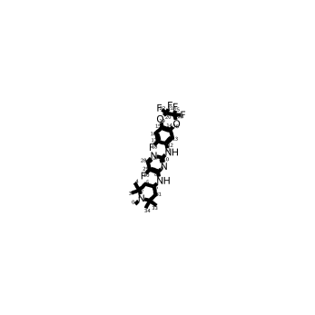 CN1C(C)(C)CC(Nc2nc(Nc3cc4c(cc3F)OC(F)(F)C(F)(F)O4)ncc2F)CC1(C)C